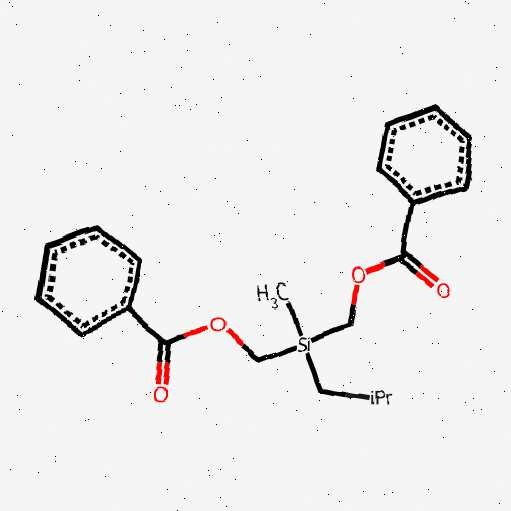 CC(C)C[Si](C)(COC(=O)c1ccccc1)COC(=O)c1ccccc1